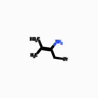 CC(C(=O)O)=C(N)CC(C)C